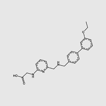 CCOc1cccc(-c2ccc(CNCc3cccc(NCC(=O)O)n3)cc2)c1